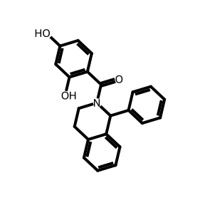 O=C(c1ccc(O)cc1O)N1CCc2ccccc2C1c1ccccc1